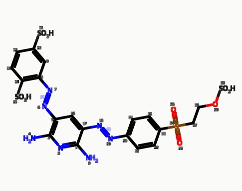 Nc1nc(N)c(/N=N/c2cc(S(=O)(=O)O)ccc2S(=O)(=O)O)cc1/N=N/c1ccc(S(=O)(=O)CCOS(=O)(=O)O)cc1